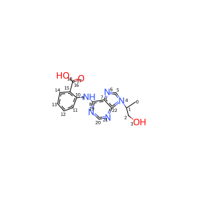 CC(CO)n1cnc2c(Nc3ccccc3C(=O)O)ncnc21